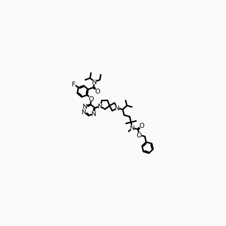 CCN(C(=O)c1cc(F)ccc1Oc1nncnc1N1CCC2(C1)CN(C(CCC(C)(C)N(C)C(=O)OCc1ccccc1)C(C)C)C2)C(C)C